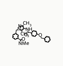 CNC(=O)c1cccc(Cn2nc(C)c(NC(=O)c3ccc(OCc4ccccc4)cc3)c2C)c1